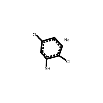 Sc1cc(Cl)ccc1Cl.[Na]